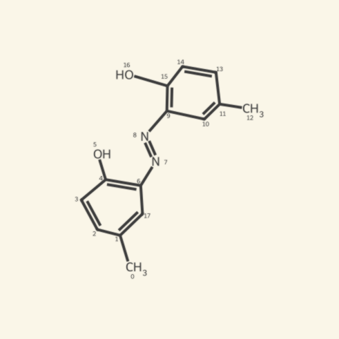 Cc1ccc(O)c(/N=N/c2cc(C)ccc2O)c1